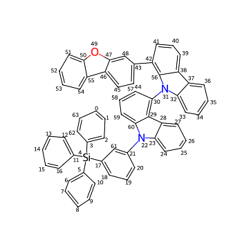 c1ccc([Si](c2ccccc2)(c2ccccc2)c2cccc(-n3c4ccccc4c4c(-n5c6ccccc6c6cccc(-c7ccc8c(c7)oc7ccccc78)c65)cccc43)c2)cc1